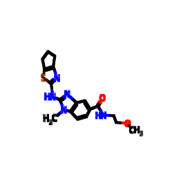 COCCNC(=O)c1ccc2c(c1)nc(Nc1nc3c(s1)CCC3)n2C